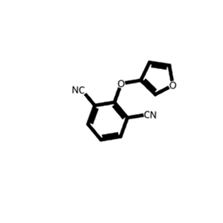 N#Cc1cccc(C#N)c1Oc1ccoc1